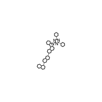 c1ccc(-c2nc(-c3ccccc3)nc(-n3c4ccccc4c4c5ccc(-c6ccc7cc(-c8cccc9ccccc89)ccc7c6)cc5ccc43)n2)cc1